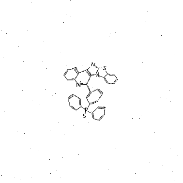 S=P(c1ccccc1)(c1ccccc1)c1cccc(-c2nc3ccccc3c3nc4sc5ccccc5n4c23)c1